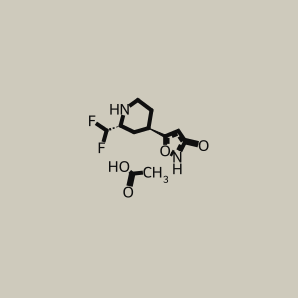 CC(=O)O.O=c1cc([C@@H]2CCN[C@@H](C(F)F)C2)o[nH]1